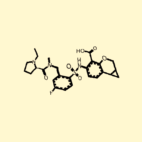 CCN1CCC[C@@H]1C(=O)N(C)Cc1cc(F)ccc1S(=O)(=O)Nc1ccc2c(c1C(=O)O)OCC1CC21